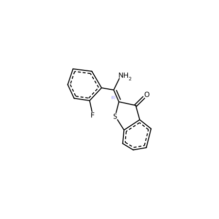 N/C(=C1/Sc2ccccc2C1=O)c1ccccc1F